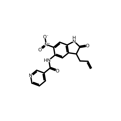 C=CCC1C(=O)Nc2cc([N+](=O)[O-])c(NC(=O)c3cccnc3)cc21